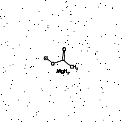 CC(=O)OCl.[MgH2]